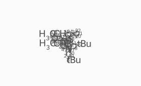 CC(C)(C)c1ccc(N2c3ccc(C(C)(C)C)cc3B3c4sc5c(-c6ccccc6)cccc5c4N(c4ccc5c(c4)C(C)(C)CCC5(C)C)c4cccc2c43)cc1